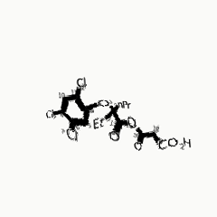 CCCC(CC)(Oc1cc(Cl)c(Cl)cc1Cl)C(=O)OC(=O)CC(=O)O